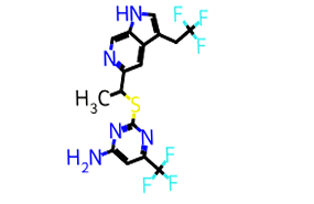 CC(Sc1nc(N)cc(C(F)(F)F)n1)c1cc2c(CC(F)(F)F)c[nH]c2cn1